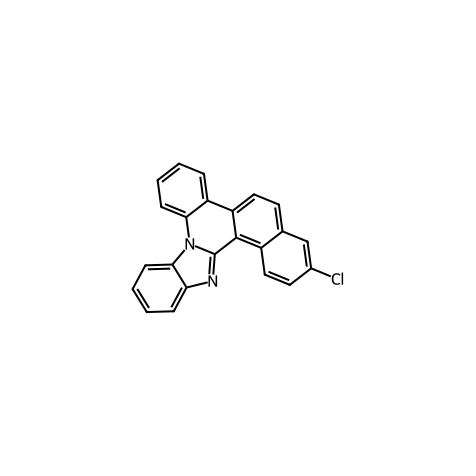 Clc1ccc2c(ccc3c4ccccc4n4c5ccccc5nc4c23)c1